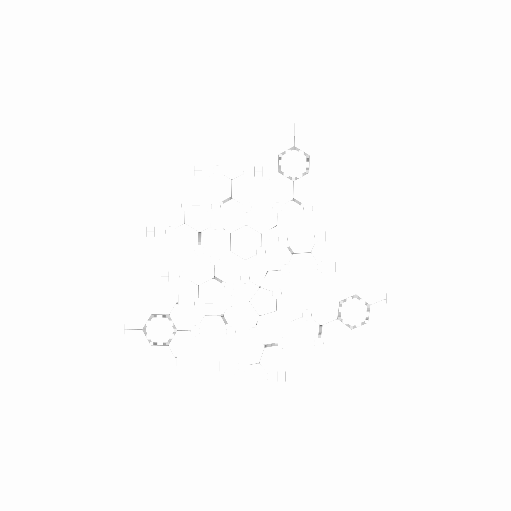 CC(C)C(=O)OC[C@@]1(O[C@H]2O[C@H](COC(=O)c3ccc(I)cc3)[C@@H](OC(=O)C(C)C)[C@H](OC(=O)C(C)C)[C@H]2OC(=O)C(C)C)O[C@H](COC(=O)c2ccc(I)cc2)[C@@H](OC(=O)C(C)C)[C@@H]1OC(=O)COc1c(I)cc(I)cc1I